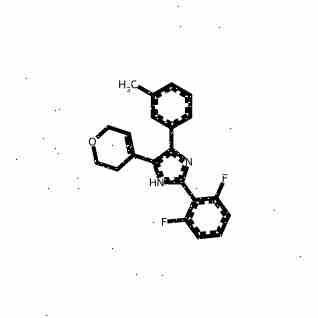 Cc1cccc(-c2nc(-c3c(F)cccc3F)[nH]c2C2=CCOCC2)c1